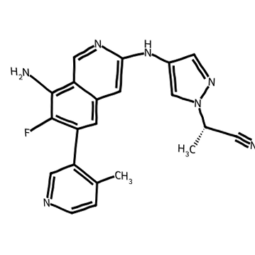 Cc1ccncc1-c1cc2cc(Nc3cnn([C@@H](C)C#N)c3)ncc2c(N)c1F